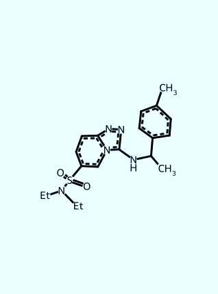 CCN(CC)S(=O)(=O)c1ccc2nnc(NC(C)c3ccc(C)cc3)n2c1